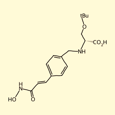 CC(C)(C)OC[C@@H](NCc1ccc(/C=C/C(=O)NO)cc1)C(=O)O